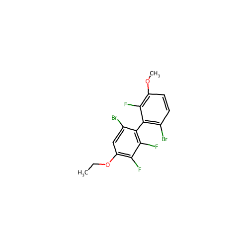 CCOc1cc(Br)c(-c2c(Br)ccc(OC)c2F)c(F)c1F